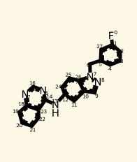 Fc1cccc(Cn2ncc3cc(Nc4ncnc5ccccc45)ccc32)c1